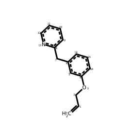 C=CCOc1[c]c(Cc2ccccn2)ccc1